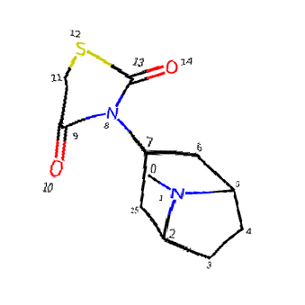 CN1C2CCC1CC(N1C(=O)CSC1=O)C2